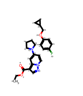 CCOC(=O)c1cnn2ccc(N3CCC[C@@H]3c3cc(F)ccc3OCC3CC3)cc12